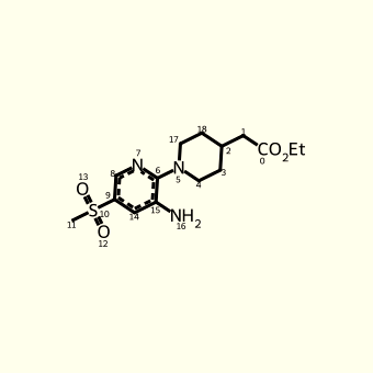 CCOC(=O)CC1CCN(c2ncc(S(C)(=O)=O)cc2N)CC1